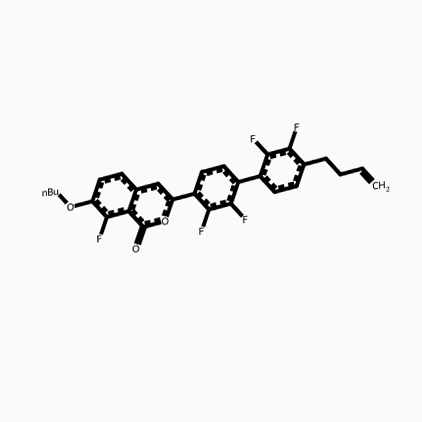 C=CCCc1ccc(-c2ccc(-c3cc4ccc(OCCCC)c(F)c4c(=O)o3)c(F)c2F)c(F)c1F